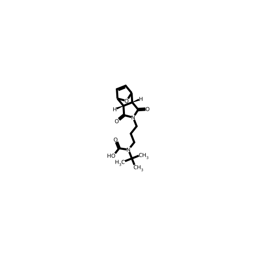 CC(C)(C)N(CCCN1C(=O)[C@@H]2C3C=CC(O3)[C@@H]2C1=O)C(=O)O